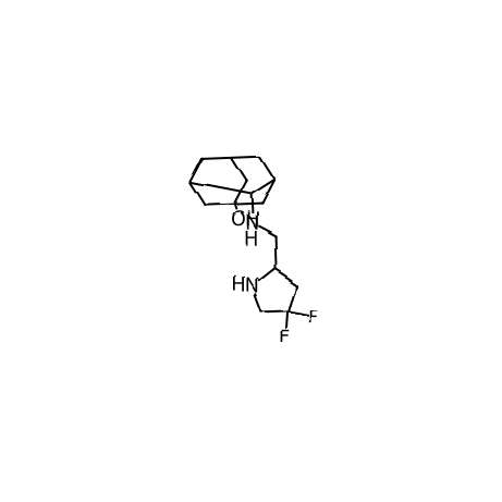 OC12CC3CC(C1)C(NCC1CC(F)(F)CN1)C(C3)C2